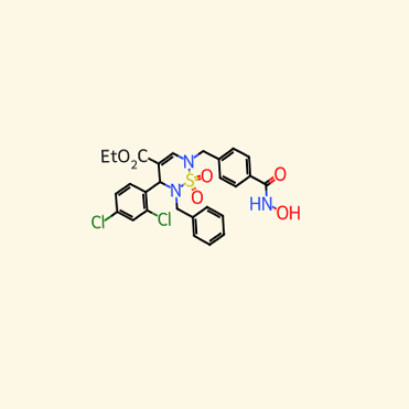 CCOC(=O)C1=CN(Cc2ccc(C(=O)NO)cc2)S(=O)(=O)N(Cc2ccccc2)C1c1ccc(Cl)cc1Cl